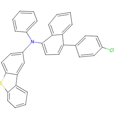 Clc1ccc(-c2ccc(N(c3ccccc3)c3ccc4sc5ccccc5c4c3)c3ccccc23)cc1